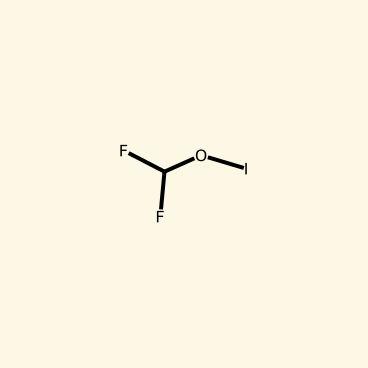 FC(F)OI